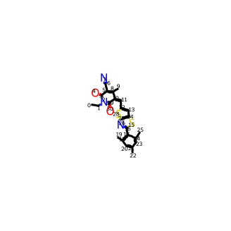 CCN1C(=O)C(C#N)=C(C)/C(=C/c2cc3sc(-c4c(C)cc(C)cc4C)nc3s2)C1=O